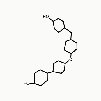 OC1CCC(CC2CCC(OC3CCC(C4CCC(O)CC4)CC3)CC2)CC1